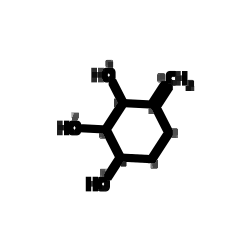 C=C1CCC(O)C(O)C1O